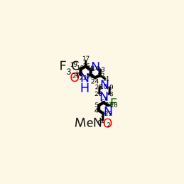 CNC(=O)c1ccc(N2CCN(Cc3cnc4c(C)c(C(F)(F)F)c(=O)[nH]c4c3)CC2)c(F)n1